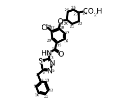 O=C(Nc1nnc(Cc2ccccc2)s1)c1ccc(OC2CCC(C(=O)O)CC2)c(Cl)c1